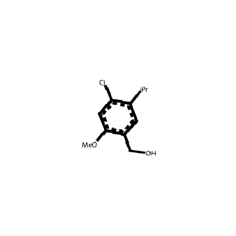 COc1cc(Cl)c(C(C)C)cc1CO